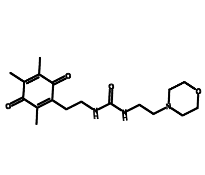 CC1=C(C)C(=O)C(CCNC(=O)NCCN2CCOCC2)=C(C)C1=O